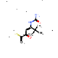 C=C(S)C(=O)/C=C(/NC(N)=O)C(C)(C)C